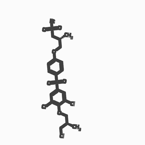 CCS(=O)(=O)C[C@H](C)COc1ccc(S(=O)(=O)c2cc(Cl)c(OC[C@@H](C)CCl)c(Cl)c2)cc1